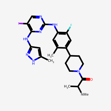 CNC(C)C(=O)N1CCC(c2cc(F)c(Nc3ncc(I)c(Nc4cc(C)[nH]n4)n3)cc2C)CC1